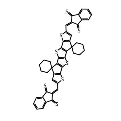 S=C1C(=Cc2cc3c(s2)-c2sc4c5c(sc4c2C32CCCCC2)-c2sc(C=C3C(=S)c4ccccc4C3=S)cc2C52CCCCC2)C(=S)c2ccccc21